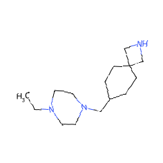 CCN1CCN(CC2CCC3(CC2)CNC3)CC1